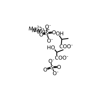 CC(O)C(=O)[O-].CC(O)C(=O)[O-].O=S(=O)([O-])[O-].O=S(=O)([O-])[O-].[Mg+2].[Mg+2].[Mg+2]